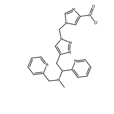 CN(Cc1ccccn1)C(Cc1cn(Cn2cnc([N+](=O)[O-])c2)nn1)c1ccccn1